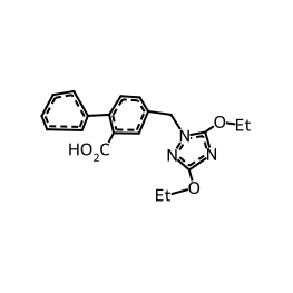 CCOc1nc(OCC)n(Cc2ccc(-c3ccccc3)c(C(=O)O)c2)n1